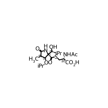 CC(=O)N[C@@H](CSC(=O)[C@]1([C@@H](O)C(C)C)NC(=O)[C@H](C)[C@@H]1OC(C)C)C(=O)O